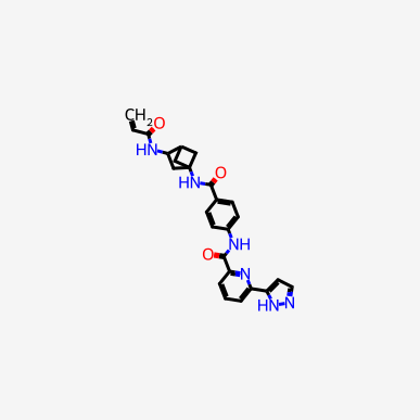 C=CC(=O)NC1CC2(NC(=O)c3ccc(NC(=O)c4cccc(-c5ccn[nH]5)n4)cc3)CC1C2